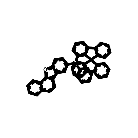 c1ccc(N(c2ccc3oc4c5ccccc5ccc4c3c2)c2cccc3c2C2(c4ccccc4-c4ccccc42)c2ccccc2-3)cc1